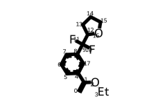 C=C(OCC)c1cccc(C(F)(F)C2CCCO2)c1